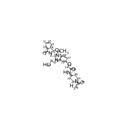 CC[n+]1c(CN2C(=O)c3ccccc3C2=O)n(CCO)c2cc(OCC(=O)NC3CCN(C(C)=O)CC3)ccc21